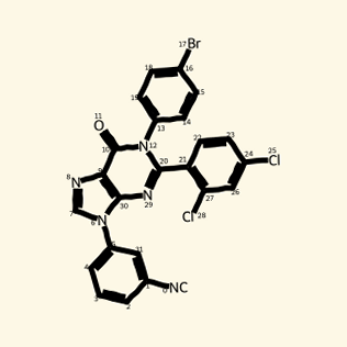 [C-]#[N+]c1cccc(-n2cnc3c(=O)n(-c4ccc(Br)cc4)c(-c4ccc(Cl)cc4Cl)nc32)c1